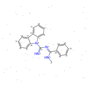 CN/C(=N\C(=N)n1c2ccccc2c2ccccc21)c1ccccc1